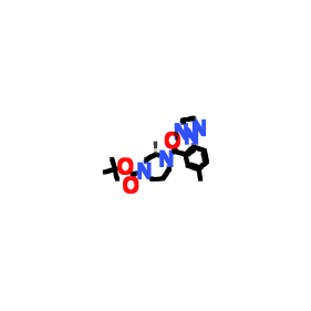 Cc1ccc(-n2nccn2)c(C(=O)N2CCCN(C(=O)OC(C)(C)C)C[C@@H]2C)c1